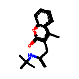 C=C(Cc1c(C)c2ccccc2oc1=O)NC(C)(C)C